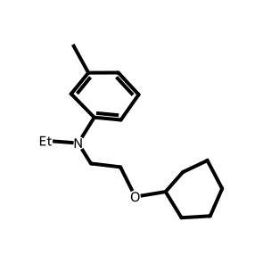 CCN(CCOC1CCCCC1)c1cccc(C)c1